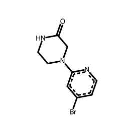 O=C1CN(c2cc(Br)ccn2)CCN1